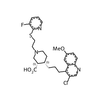 COc1ccc2ncc(Cl)c(CCC[C@H]3CCN(CCSc4ncccc4F)C[C@H]3C(=O)O)c2c1